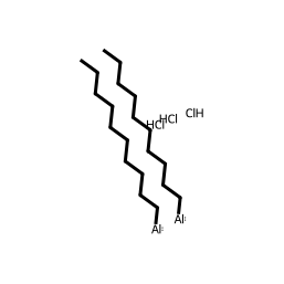 CCCCCCCCC[CH2][Al].CCCCCCCCC[CH2][Al].Cl.Cl.Cl